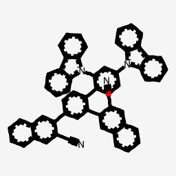 N#Cc1cc2ccccc2cc1-c1ccc(-c2ccc(-n3c4ccccc4c4ccccc43)cc2-n2c3ccccc3c3ccccc32)c(-c2cc3ccccc3cc2C#N)c1